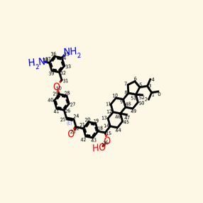 CC(C)C(C)C1CCC2C3CCC4CC(C(OO)c5ccc(C(=O)/C=C/c6ccc(OCc7cc(N)cc(N)c7)cc6)cc5)CCC4(C)C3CCC12C